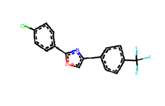 FC(F)(F)c1ccc(-c2coc(-c3ccc(Cl)cc3)n2)cc1